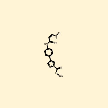 CC(C)(C)OC(=O)n1cc(-c2ccc(NC(=N)/C=C\NCl)cc2)cn1